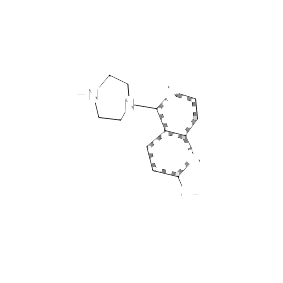 FC(F)(F)c1ccc2c(N3CCNCC3)nccc2n1